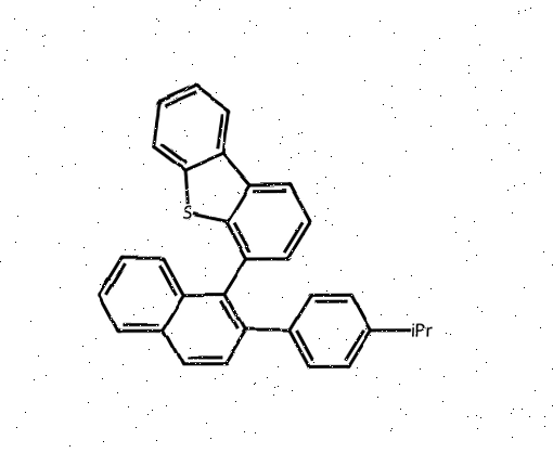 CC(C)c1ccc(-c2ccc3ccccc3c2-c2cccc3c2sc2ccccc23)cc1